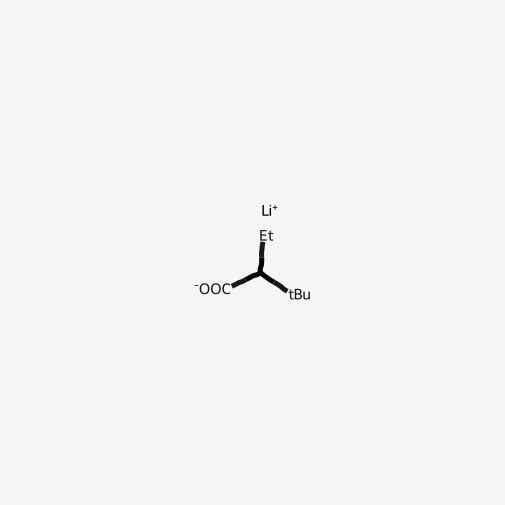 CCC(C(=O)[O-])C(C)(C)C.[Li+]